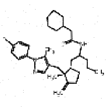 C=C1CC[C@H](CC(CCC)NC(=O)CC2CCCCC2)[C@@]1(C)Cc1cnn(-c2ccc(F)cc2)c1C